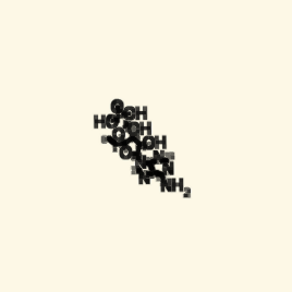 C=C[C@]1(OCP(=O)(O)O)O[C@@H](n2cnc3c(N)ncnc32)[C@H](O)[C@@H]1O